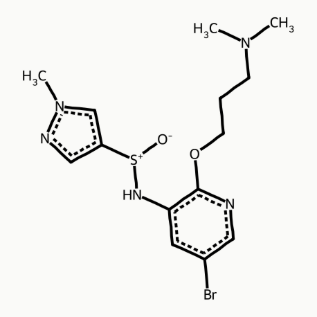 CN(C)CCCOc1ncc(Br)cc1N[S+]([O-])c1cnn(C)c1